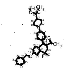 C=C(C)C1=C(c2ccc(N3CCC(C(OC)OC)CC3)cc2)c2ccc(OCc3ccccc3)cc2C(F)(F)C1